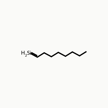 CCCCCCCC=[SiH2]